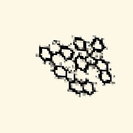 Brc1ccccc1-c1ccccc1-c1ccc2c3ccc4ccccc4c3n(-c3ccc4c(c3)-c3c(ccc5ccccc35)C4(c3ccccc3)c3ccccc3)c2c1